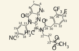 C[C@H](c1nc2ncccc2c(=O)n1-c1ccc(C#N)cc1)N(CCCS(C)(=O)=O)C(=O)Cc1ccc(F)c(C(F)(F)F)c1